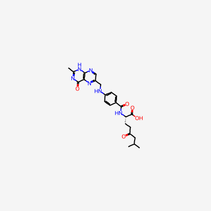 Cc1nc(=O)c2nc(CNc3ccc(C(=O)N[C@@H](CCC(=O)CC(C)C)C(=O)O)cc3)cnc2[nH]1